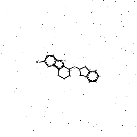 Brc1ccc2[nH]c3c(c2c1)CCC[C@@H]3NC1Cc2ccccc2C1